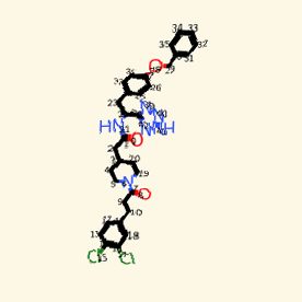 O=C(CC1CCN(C(=O)CCc2ccc(Cl)c(Cl)c2)CC1)NC(Cc1ccc(OCc2ccccc2)cc1)c1nn[nH]n1